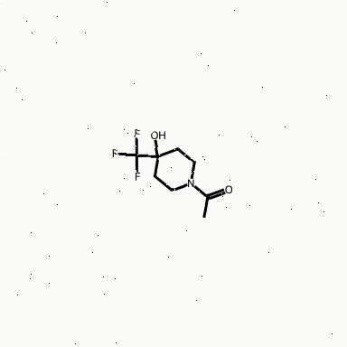 CC(=O)N1CCC(O)(C(F)(F)F)CC1